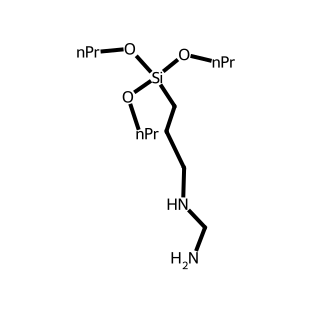 CCCO[Si](CCCNCN)(OCCC)OCCC